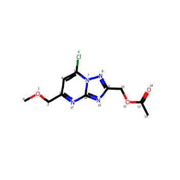 COCc1cc(Cl)n2nc(COC(C)=O)nc2n1